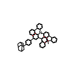 CC1(C)c2ccccc2-c2ccc(N(c3ccccc3-c3ccccc3)c3ccc(-c4ccc(C56CC7CC(CC(C7)C5)C6)cc4)cc3-c3cccc4ccccc34)cc21